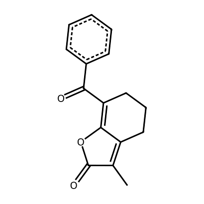 CC1=C2CCCC(C(=O)c3ccccc3)=C2OC1=O